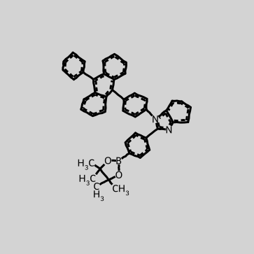 CC1(C)OB(c2ccc(-c3nc4ccccc4n3-c3ccc(-c4c5ccccc5c(-c5ccccc5)c5ccccc45)cc3)cc2)OC1(C)C